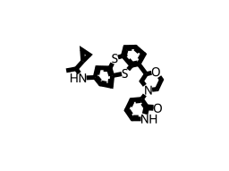 CC(Nc1ccc2c(c1)Sc1cccc(C3CN(c4ccc[nH]c4=O)CCO3)c1S2)C1CC1